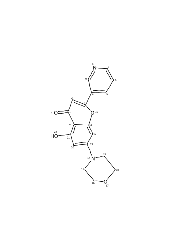 O=c1cc(-c2cccnc2)oc2cc(N3CCOCC3)cc(O)c12